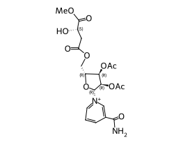 COC(=O)[C@@H](O)CC(=O)OC[C@H]1O[C@@H]([n+]2cccc(C(N)=O)c2)[C@H](OC(C)=O)[C@@H]1OC(C)=O